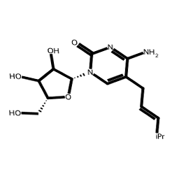 CC(C)C=CCc1cn([C@@H]2O[C@H](CO)C(O)C2O)c(=O)nc1N